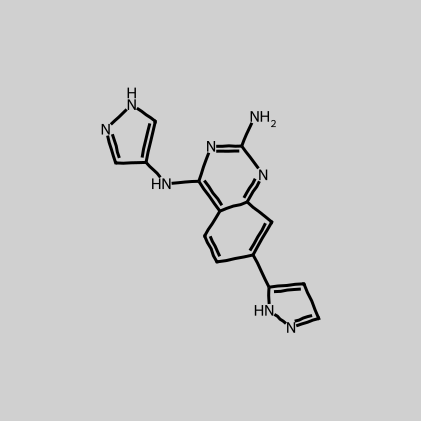 Nc1nc(Nc2cn[nH]c2)c2ccc(-c3ccn[nH]3)cc2n1